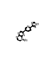 CC(C)N1CC=Nc2ncc(-c3ccc(-c4nc[nH]n4)nc3)nc21